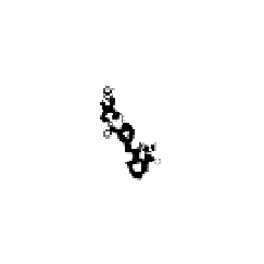 O=C(c1cc(Cc2nn(I)c(=O)c3c2=CCCC=3)ccc1F)N1CC2=C(C1)C[S+]([O-])C2